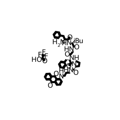 CC[C@H](C)[C@H](NC(=O)[C@@H](N)Cc1ccccc1)C(=O)NCC(=O)N[C@@H](Cc1ccccc1)C(=O)N1CCC[C@@H]1C(=O)NCCCNc1cccc2c1C(=O)c1ccccc1C2=O.O=C(O)C(F)(F)F